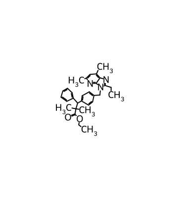 CCOC(=O)C(C)(C)C(c1ccccc1)c1ccc(Cn2c(CC)nc3c(C)cc(C)nc32)cc1